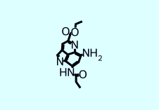 CCOC(=O)c1cc2c3c(c(NC(=O)CC)cc(N)c3n1)N=C2